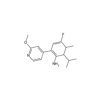 COc1cc(C2=C(N)C(C(C)C)C(C)C(F)=C2)ccn1